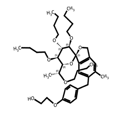 CCCCO[C@H]1[C@H](OCCCC)[C@@H](OCCCC)[C@@]2(OCc3cc(C)c(Cc4ccc(OCCO)cc4)cc32)O[C@@H]1[C@@H](C)OCCCC